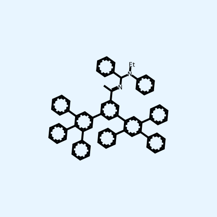 CCN(c1ccccc1)C(/N=C(\C)c1cc(-c2cc(-c3ccccc3)c(-c3ccccc3)c(-c3ccccc3)c2)cc(-c2cc(-c3ccccc3)c(-c3ccccc3)cc2-c2ccccc2)c1)c1ccccc1